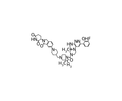 CC1(C)CN(CC2CCN(c3ccc4c(c3)C(=O)N(C3CCC(=O)NC3=O)C4)CC2)CCN1C(=O)N1CCN2c3cc(-c4cccc(F)c4O)nnc3NC[C@@]2(C)C1